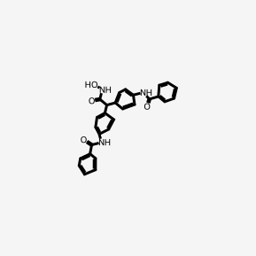 O=C(Nc1ccc(C(C(=O)NO)c2ccc(NC(=O)c3ccccc3)cc2)cc1)c1ccccc1